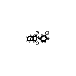 O=C1C2C3CCC(O3)C2C(=O)N1c1ccc(F)c(Cl)c1